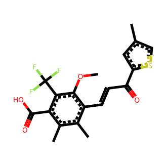 COc1c(C=CC(=O)c2cc(C)cs2)c(C)c(C)c(C(=O)O)c1C(F)(F)F